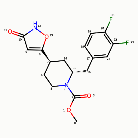 COC(=O)N1CC[C@@H](c2cc(=O)[nH]o2)C[C@@H]1Cc1ccc(F)c(F)c1